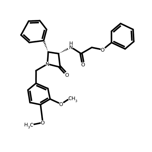 COc1ccc(CN2C(=O)[C@@H](NC(=O)COc3ccccc3)[C@H]2c2ccccc2)cc1OC